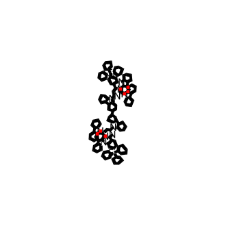 c1ccc([Si](c2ccccc2)(c2ccccc2)c2ccc(-c3cc(-n4c5ccccc5c5cc(-c6ccc7c(c6)c6ccccc6n7-c6cc(-n7c8ccccc8c8ccccc87)nc(-c7ccc([Si](c8ccccc8)(c8ccccc8)c8ccccc8)cc7-n7c8ccccc8c8ccccc87)n6)ccc54)nc(-n4c5ccccc5c5ccccc54)n3)c(-n3c4ccccc4c4ccccc43)c2)cc1